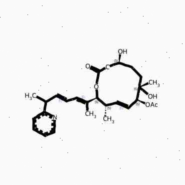 CC(=O)O[C@H]1/C=C/[C@H](C)[C@@H](/C(C)=C/C=C/C(C)c2ccccn2)OC(=O)C[C@@H](O)CC[C@]1(C)O